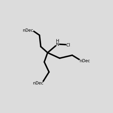 CCCCCCCCCCCCC(CCCCCCCCCCCC)(CCCCCCCCCCCC)NCl